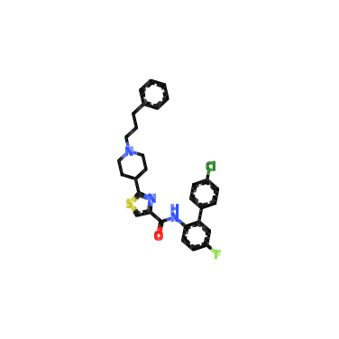 O=C(Nc1ccc(F)cc1-c1ccc(Cl)cc1)c1csc(C2CCN(CCCc3ccccc3)CC2)n1